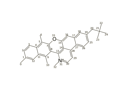 Cc1ccc2c(C)c3c(c(C)c2c1)-c1c2c(cc4cc(CC(C)(C)C)ccc4c2cc[n+]1C)O3